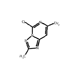 Cc1cc2nc(C)nn2c(Cl)n1